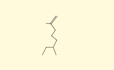 [CH]=C(C)CCCC(C)CC